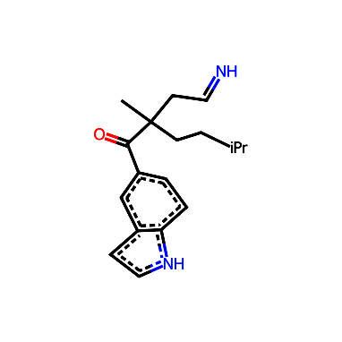 CC(C)CCC(C)(CC=N)C(=O)c1ccc2[nH]ccc2c1